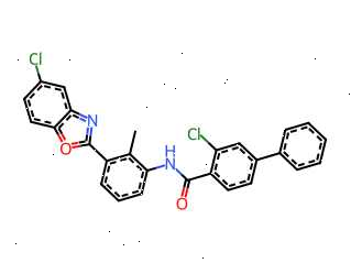 Cc1c(NC(=O)c2ccc(-c3ccccc3)cc2Cl)cccc1-c1nc2cc(Cl)ccc2o1